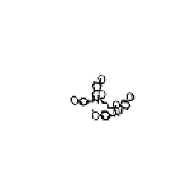 COc1ccc(CN(Cc2ccc(OC)cc2)C(=O)CCCC(=O)N(Cc2ccc(OC)cc2)Cc2ccc(OC)cc2)cc1